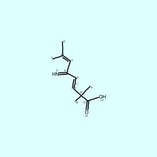 CC(C)=CC(=N)/C=C/C(C)(C)C(=O)O